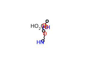 O=C(O)C(Cc1ccc(OCCCCC2CCNCC2)cc1)NS(=O)(=O)CCc1ccccc1